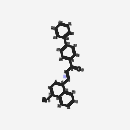 O=C(/C=C/c1ccc(Br)c2ccccc12)c1ccc(-c2ccccc2)cc1